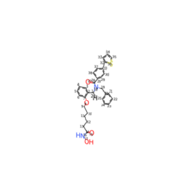 [2H]C(c1ccccc1OCCCCCC(=O)NO)N(Cc1ccccc1)C(=O)c1ccc(-c2cccs2)cc1